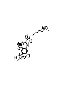 NS(=O)(=O)c1cc2c(cc1Cl)N=C(NC(=O)CCCCCO[N+](=O)[O-])NS2(=O)=O